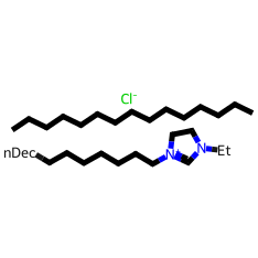 CCCCCCCCCCCCCCC.CCCCCCCCCCCCCCCCC[N+]1=CN(CC)CC1.[Cl-]